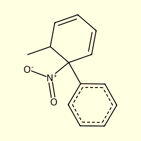 CC1C=CC=CC1(c1ccccc1)[N+](=O)[O-]